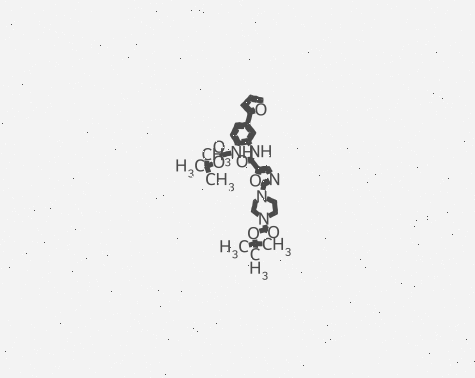 CC(C)(C)OC(=O)Nc1ccc(-c2ccco2)cc1NC(=O)c1cnc(N2CCN(C(=O)OC(C)(C)C)CC2)o1